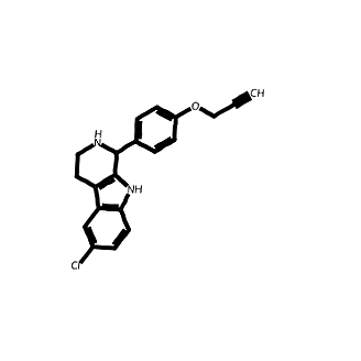 C#CCOc1ccc(C2NCCc3c2[nH]c2ccc(Cl)cc32)cc1